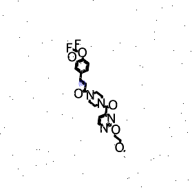 COCCOc1nccc(C(=O)N2CCN(C(=O)/C=C/c3ccc4c(c3)OC(F)(F)O4)CC2)n1